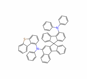 c1ccc(N(c2ccccc2)c2cccc3c2-c2ccccc2C32c3ccccc3-c3c2cc(N(c2ccccc2)c2cccc4sc5ccccc5c24)c2ccccc32)cc1